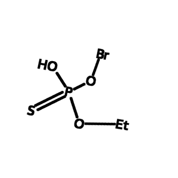 CCOP(O)(=S)OBr